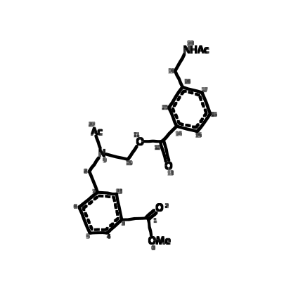 COC(=O)c1cccc(CN(COC(=O)c2cccc(CNC(C)=O)c2)C(C)=O)c1